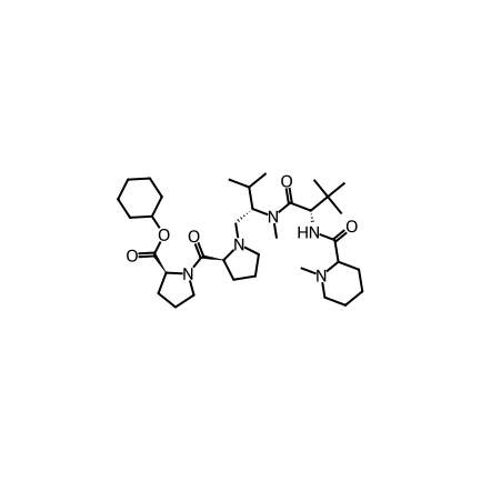 CC(C)[C@@H](CN1CCC[C@H]1C(=O)N1CCC[C@H]1C(=O)OC1CCCCC1)N(C)C(=O)[C@@H](NC(=O)C1CCCCN1C)C(C)(C)C